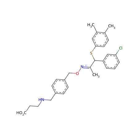 C/C(=N\OCc1ccc(CNCCC(=O)O)cc1)C(Sc1ccc(C)c(C)c1)c1cccc(Cl)c1